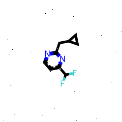 FC(F)c1[c]cnc(CC2CC2)n1